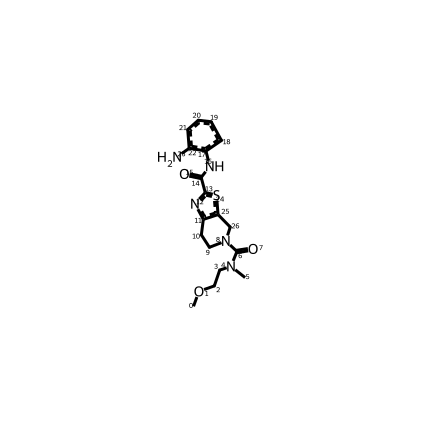 COCCN(C)C(=O)N1CCc2nc(C(=O)Nc3ccccc3N)sc2C1